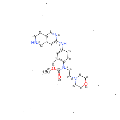 Cc1cc(Nc2cc3c(cn2)CCNC3)ccc1N(CCN1CCOCC1)C(=O)OC(C)(C)C